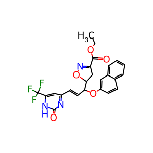 CCOC(=O)C1=NOC(C(C=Cc2cc(C(F)(F)F)[nH]c(=O)n2)Oc2ccc3ccccc3c2)C1